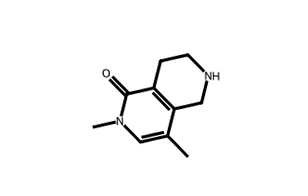 Cc1cn(C)c(=O)c2c1CNCC2